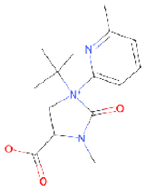 Cc1cccc([N+]2(C(C)(C)C)CC(C(=O)[O-])N(C)C2=O)n1